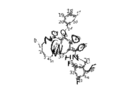 C[C@H]1C=C[C@H](C)N2CN1C(=O)c1c(OCc3ccccc3)c(=O)c(C(=O)NCc3c(F)cc(F)cc3F)cn12